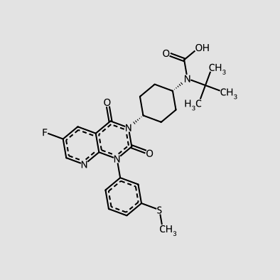 CSc1cccc(-n2c(=O)n([C@H]3CC[C@@H](N(C(=O)O)C(C)(C)C)CC3)c(=O)c3cc(F)cnc32)c1